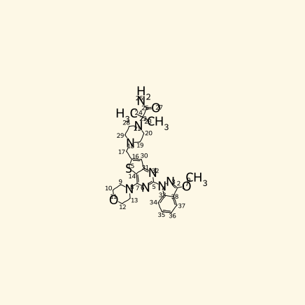 COc1nn(-c2nc(N3CCOCC3)c3sc(CN4CCN(C(C)(C)C(N)=O)CC4)cc3n2)c2ccccc12